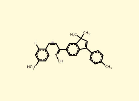 Cc1ccc(C2=CC(C)(C)c3cc(C(/C=C\c4ccc(C(=O)O)cc4F)=NO)ccc32)cc1